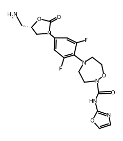 NC[C@H]1CN(c2cc(F)c(N3CCON(C(=O)Nc4ncco4)CC3)c(F)c2)C(=O)O1